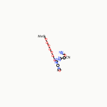 COCCOCCOCCOCCOCCOCCOCCCOc1nn(C2CCC(N3C[C@@H](C)O[C@@H](C)C3)CC2)cc1Nc1ncc(-c2ccc(C#N)c(O[C@@H](C)Cn3cncn3)c2)cn1